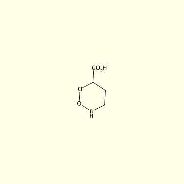 O=C(O)C1CCBOO1